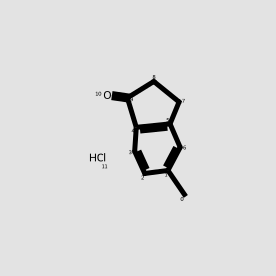 Cc1ccc2c(c1)CCC2=O.Cl